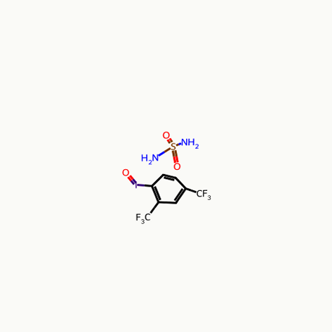 NS(N)(=O)=O.O=Ic1ccc(C(F)(F)F)cc1C(F)(F)F